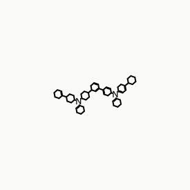 C1=CC(C2=CCC(N(C3=CCCCC3)C3=CC=C(C4CCCCC4)CC3)C=C2)=CC(C2CCC(N(C3=CCCCC3)C3CCC(C4=CCCCC4)CC3)CC2)C1